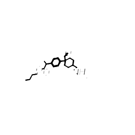 CCCCOC(=O)C(C)c1ccc(C2(C=O)CCC(CN)CC2)cc1